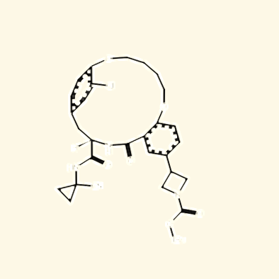 CC(C)(C)OC(=O)N1CC(c2ccc3c(c2)C(=O)N[C@H](C(=O)NC2(C#N)CC2)Cc2ccc(c(Cl)c2)OCCCCO3)C1